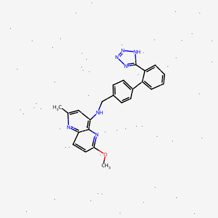 COc1ccc2nc(C)cc(NCc3ccc(-c4ccccc4-c4nnn[nH]4)cc3)c2n1